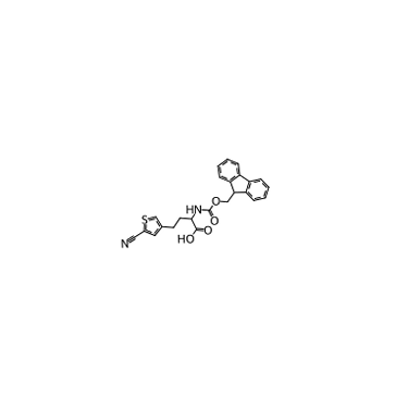 N#Cc1cc(CCC(NC(=O)OCC2c3ccccc3-c3ccccc32)C(=O)O)cs1